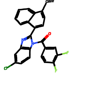 COc1ccc(-c2nc3cc(Cl)ccc3n2C(=O)c2ccc(F)c(F)c2)c2ccccc12